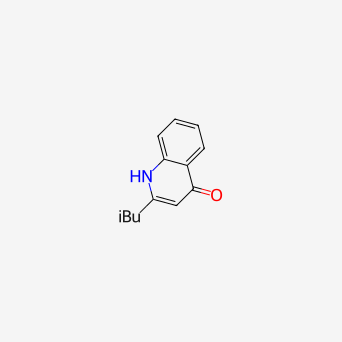 CCC(C)c1cc(=O)c2ccccc2[nH]1